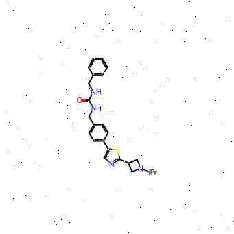 CC(C)N1CC(c2ncc(-c3ccc(CNC(=O)NCc4ccccc4)cc3)s2)C1